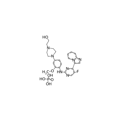 COc1cc(N2CCN(CCO)CC2)ccc1Nc1ncc(F)c(-c2cnc3ccccn23)n1.O=P(O)(O)O